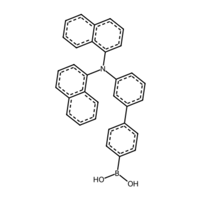 OB(O)c1ccc(-c2cccc(N(c3cccc4ccccc34)c3cccc4ccccc34)c2)cc1